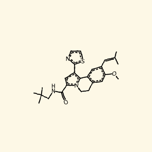 COc1cc2c(cc1C=C(C)C)-c1c(-c3nccs3)cc(C(=O)NCC(C)(C)C)n1CC2